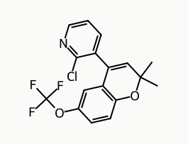 CC1(C)C=C(c2cccnc2Cl)c2cc(OC(F)(F)F)ccc2O1